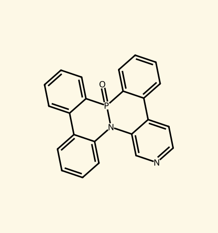 O=P12c3ccccc3-c3ccccc3N1c1cnccc1-c1ccccc12